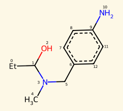 CCC(O)N(C)Cc1ccc(N)cc1